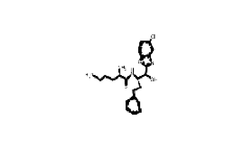 NCCC[C@@H](N)C(=O)N[C@H](CCc1ccccc1)C(O)c1nc2cc(Cl)ccc2o1